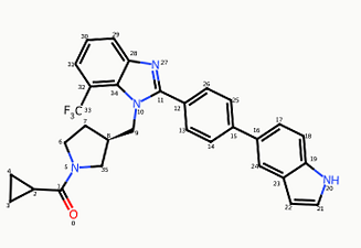 O=C(C1CC1)N1CC[C@@H](Cn2c(-c3ccc(-c4ccc5[nH]ccc5c4)cc3)nc3cccc(C(F)(F)F)c32)C1